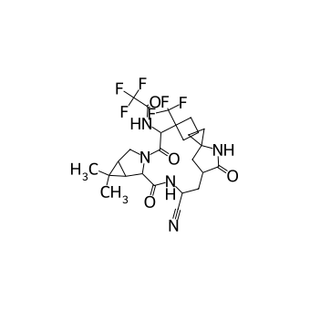 CC1(C)C2CN(C(=O)C(NC(=O)C(F)(F)F)C3(C(F)(F)F)CCC3)C(C(=O)NC(C#N)CC3CC4(CC4)NC3=O)C21